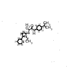 CCn1c(SC(C)C(=O)Nc2ccc(C(C)C)cc2)nnc1-c1ccccn1